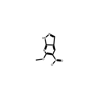 COc1nc2[nH]ncc2cc1[N+](=O)[O-]